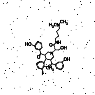 Cc1c(F)cccc1C1C(C(=O)c2cccc(O)c2)CN(C(CO)C(=O)NCCCCN(C)C)CC1C(=O)c1cccc(O)c1